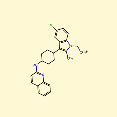 Cc1c(C2CCC(Nc3ccc4ccccc4n3)CC2)c2cc(F)ccc2n1CC(=O)O